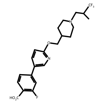 CC(CN1CCC(COc2ccc(-c3ccc(C(=O)O)c(F)c3)cn2)CC1)C(F)(F)F